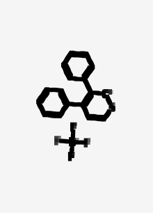 F[B-](F)(F)F.c1ccc(-c2ccs[cH+]c2-c2ccccc2)cc1